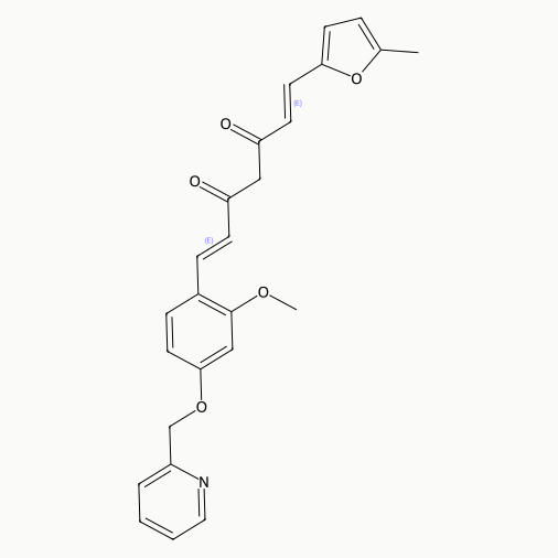 COc1cc(OCc2ccccn2)ccc1/C=C/C(=O)CC(=O)/C=C/c1ccc(C)o1